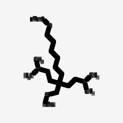 CCCCCCCCCCOCC(CCCCCCOCCCCC)(CCN(C)C)CCN(C)C